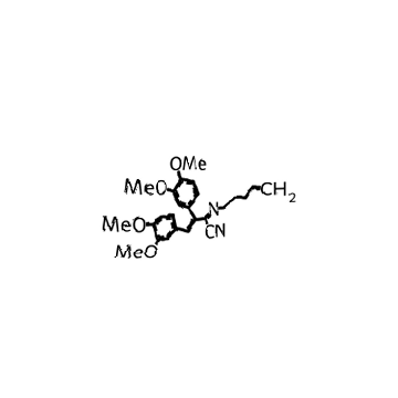 C=CCCCN=C(C#N)/C(=C/c1ccc(OC)c(OC)c1)c1ccc(OC)c(OC)c1